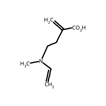 C=CN(C)CCC(=C)C(=O)O